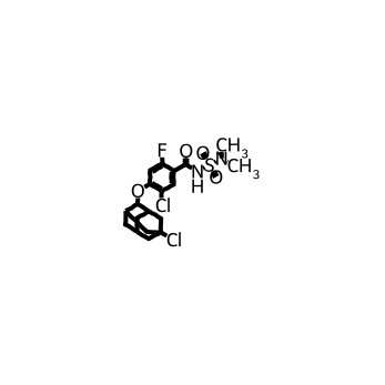 CN(C)S(=O)(=O)NC(=O)c1cc(Cl)c(OC2C3CC4CC2CC(Cl)(C4)C3)cc1F